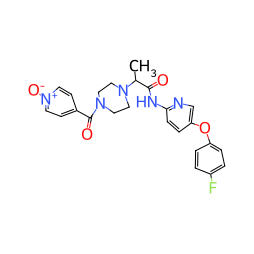 CC(C(=O)Nc1ccc(Oc2ccc(F)cc2)cn1)N1CCN(C(=O)c2cc[n+]([O-])cc2)CC1